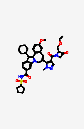 CCOCC1C(=O)CN1C(=O)c1cnn(C)c1C1=Cc2cc(OC)ccc2-c2c(C3CCCCC3)c3ccc(C(=O)NS(=O)(=O)C4CCCC4)cc3n2C1